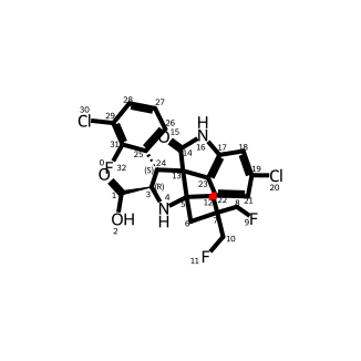 O=C(O)[C@@H]1NC2(CC(CF)(CF)C2)C2(C(=O)Nc3cc(Cl)ccc32)[C@H]1c1cccc(Cl)c1F